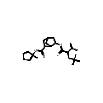 CC(C)C(CC(C)(C)C)C(=O)OC1CC2CC(C(=O)OC3(C)CCCC3)C1C2